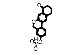 O=C1CCCc2cc3c(cc21)OCc1cc(O[SH](=O)=O)ccc1-3